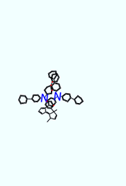 CC1C=CC(C)(c2ccc(N(c3ccc(-c4ccccc4)cc3)c3ccc(-c4ccccc4)cc3)cc2)/C1=C1/C=CC=C1c1ccc(N(c2ccc(-c3ccccc3)cc2)c2ccc(-c3ccccc3)cc2)cc1